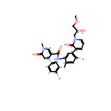 COC[C@H](O)Cn1cccc(-c2cc(NC(=O)C3=CN(C)C(=O)C[C@H]3c3ccc(F)cc3)c(C)cc2F)c1=O